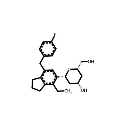 CCc1c([C@H]2C[C@@H](O)C[C@@H](CO)O2)cc(Cc2ccc(F)cc2)c2c1CCC2